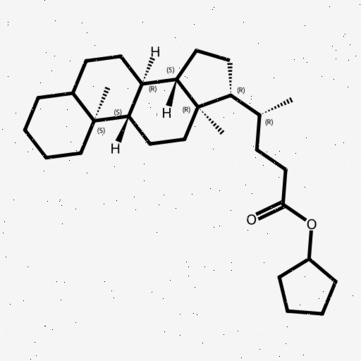 C[C@H](CCC(=O)OC1CCCC1)[C@H]1CC[C@H]2[C@@H]3CCC4CCCC[C@]4(C)[C@H]3CC[C@]12C